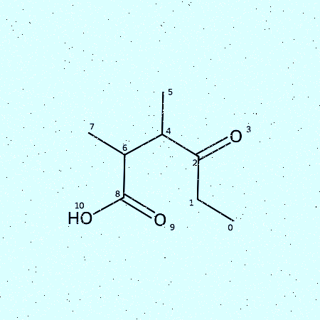 CCC(=O)C(C)C(C)C(=O)O